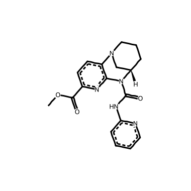 COC(=O)c1ccc2c(n1)N(C(=O)Nc1ccccn1)[C@H]1CCCN2C1